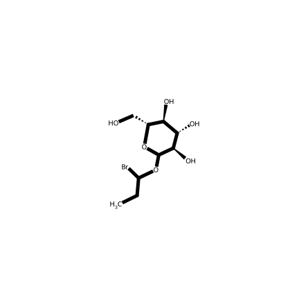 CCC(Br)OC1O[C@H](CO)[C@@H](O)[C@H](O)[C@H]1O